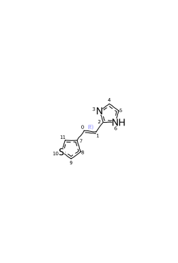 C(=C\c1ncc[nH]1)/c1ccsc1